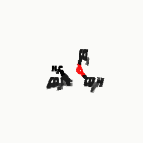 CCOC(C)=O.O=C(O)OC(Cl)(Cl)Cl